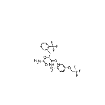 C[C@@H](NC(=O)C(Cc1ccccc1C(F)(F)F)OC(N)=O)c1ccc(OCC(F)(F)F)cn1